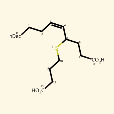 CCCCCCCCCCCC/C=C\C(CCC(=O)O)SCCCC(=O)O